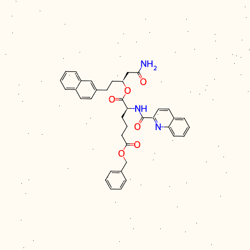 NC(=O)C[C@H](CCc1ccc2ccccc2c1)OC(=O)[C@H](CCCC(=O)OCc1ccccc1)NC(=O)c1ccc2ccccc2n1